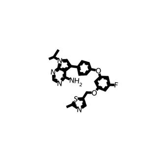 Cc1ncc(COc2cc(F)cc(Oc3ccc(-c4cn(C(C)C)c5ncnc(N)c45)cc3)c2)s1